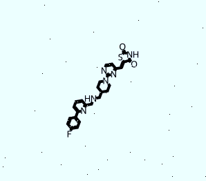 O=C1NC(=O)/C(=C/c2ccnc(N3CCC(CNCc4cccc(-c5ccc(F)cc5)n4)CC3)n2)S1